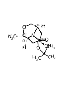 C[C@@H]1OC[C@H]2C[C@@H](O)C[C@@H]1N2C(=O)OC(C)(C)C